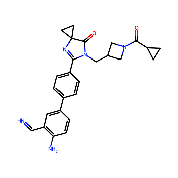 N=Cc1cc(-c2ccc(C3=NC4(CC4)C(=O)N3CC3CN(C(=O)C4CC4)C3)cc2)ccc1N